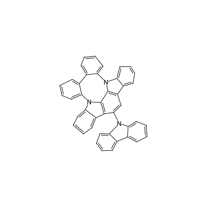 c1ccc2c(c1)c1ccccc1n2-c1cc2c3ccccc3n3c4ccccc4c4ccccc4n4c5ccccc5c1c4c23